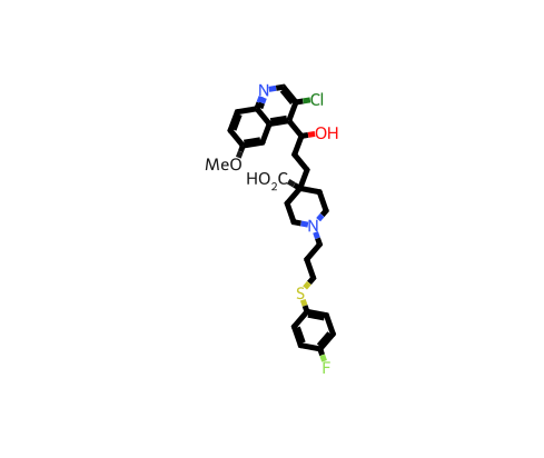 COc1ccc2ncc(Cl)c(C(O)CCC3(C(=O)O)CCN(CCCSc4ccc(F)cc4)CC3)c2c1